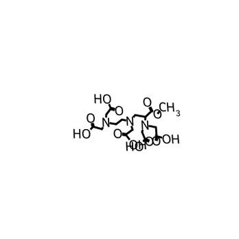 COC(=O)C(CN(CCN(CC(=O)O)CC(=O)O)CC(=O)O)N(CC(=O)O)CC(=O)O